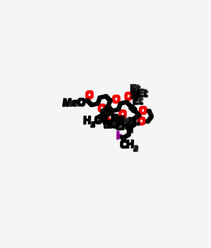 C=C(I)CC(Cl)CCC1(C#CC(O[Si](CC)(CC)CC)C2OC3CCC(CC(=O)OC)O[C@@H]3C(O[Si](C)(C)C(C)(C)C)C2O[Si](C)(C)C(C)(C)C)OCCCO1